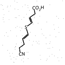 N#CCCC=CSC=CCC(=O)O